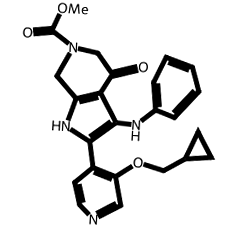 COC(=O)N1CC(=O)c2c([nH]c(-c3ccncc3OCC3CC3)c2Nc2ccccc2)C1